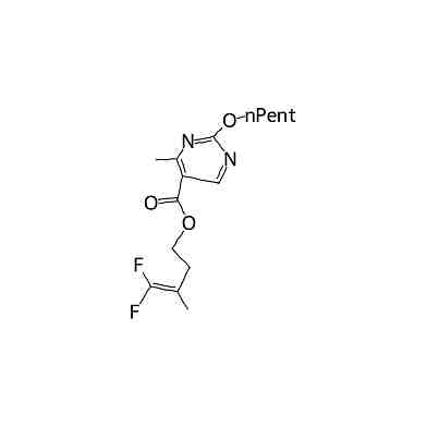 CCCCCOc1ncc(C(=O)OCCC(C)=C(F)F)c(C)n1